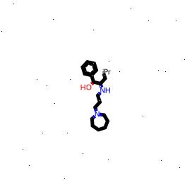 CC(C)CC(NCCCN1CCCCCC1)C(O)c1ccccc1